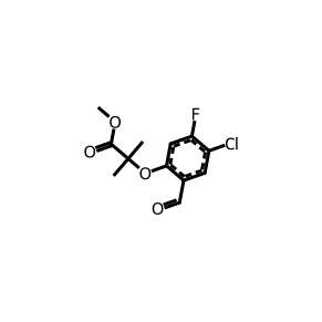 COC(=O)C(C)(C)Oc1cc(F)c(Cl)cc1C=O